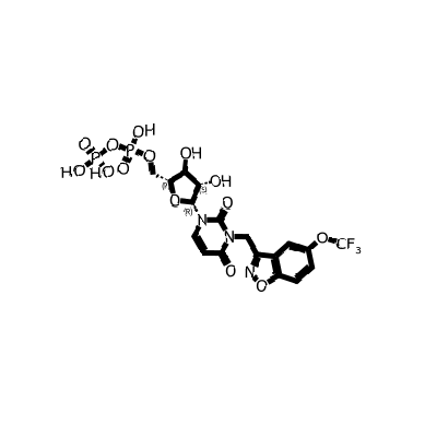 O=c1ccn([C@@H]2O[C@H](COP(=O)(O)OP(=O)(O)O)C(O)[C@@H]2O)c(=O)n1Cc1noc2ccc(OC(F)(F)F)cc12